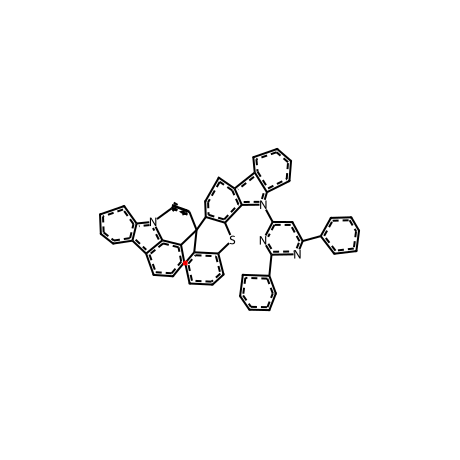 c1ccc(-c2cc(-n3c4ccccc4c4ccc5c(c43)Sc3ccccc3C53c4ccccc4-n4c5ccccc5c5cccc3c54)nc(-c3ccccc3)n2)cc1